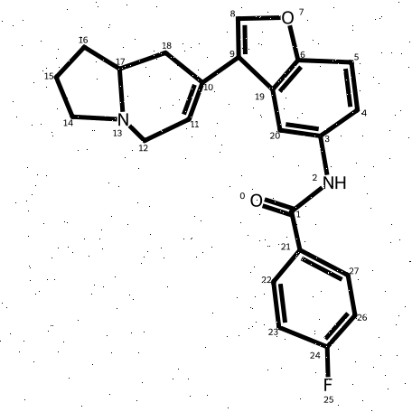 O=C(Nc1ccc2occ(C3=CCN4CCCC4C3)c2c1)c1ccc(F)cc1